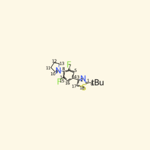 CC(C)(C)c1nc(-c2cc(F)c(N3CCCC3)c(F)c2)cs1